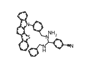 N#Cc1ccc(C(NCc2ccccc2)N(N)Cc2cccc(-n3c4ccccc4c4ccc5c6ccccc6sc5c43)c2)cc1